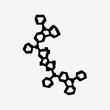 c1ccc(N(c2ccc3c(c2)c2ccccc2n3-c2ccccc2)c2cc3sc4nc(N(c5ccccc5)c5ccc6c(c5)c5ccccc5n6-c5ccccc5)cnc4c3nn2)cc1